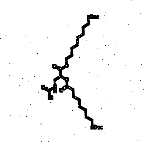 CCCCCCCCCCCCCCCCCCOC(=O)C(CNC(=O)CC)OC(=O)CCCCCCCCCCCCCCCCC